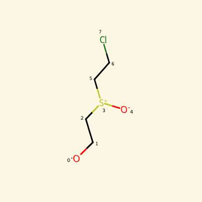 [O]CC[S+]([O-])CCCl